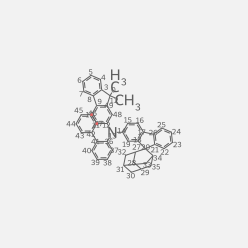 CC1(C)c2ccccc2-c2ccc(N(c3ccc4c(c3)C3(c5ccccc5-4)C4CC5CC(C4)CC3C5)c3ccccc3-c3ccccc3)cc21